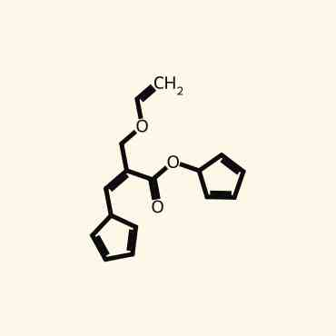 C=COCC(=CC1C=CC=C1)C(=O)OC1C=CC=C1